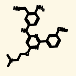 COc1cccc(-c2nc(Nc3ccc(N)c(C=N)c3)cc(OCCN(C)C)n2)c1